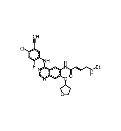 C#Cc1cc(Nc2ncnc3cc(O[C@H]4CCOC4)c(NC(=O)/C=C/CNCC)cc23)c(F)cc1Cl